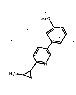 COc1cccc(-c2ccc([C@H]3C[C@H]3N)nc2)c1